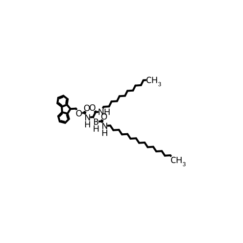 CCCCCCCCCCCCCCCCNC(=O)B[C@H](NC(=O)OCC1c2ccccc2-c2ccccc21)C(=O)NCCCCCCCCCCCC